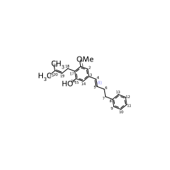 COc1cc(/C=C/CCc2ccccc2)cc(O)c1CC=C(C)C